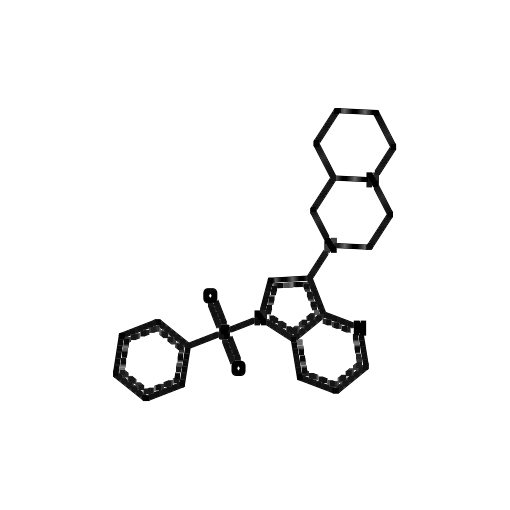 O=S(=O)(c1ccccc1)n1cc(N2CCN3CCCCC3C2)c2ncccc21